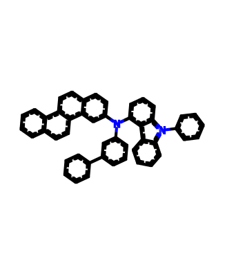 c1ccc(-c2cccc(N(c3ccc4ccc5c6ccccc6ccc5c4c3)c3cccc4c3c3ccccc3n4-c3ccccc3)c2)cc1